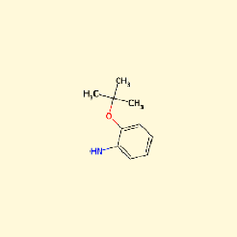 CC(C)(C)Oc1ccccc1[NH]